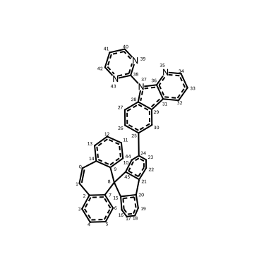 C1=Cc2ccccc2C2(c3ccccc31)c1ccccc1-c1ccc(-c3ccc4c(c3)c3cccnc3n4-c3ncccn3)cc12